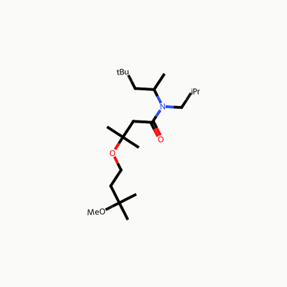 COC(C)(C)CCOC(C)(C)CC(=O)N(CC(C)C)C(C)CC(C)(C)C